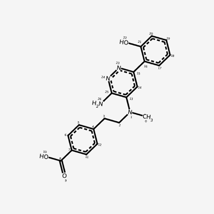 CN(CCc1ccc(C(=O)O)cc1)c1cc(-c2ccccc2O)nnc1N